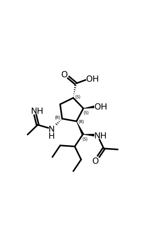 CCC(CC)[C@H](NC(C)=O)[C@@H]1[C@H](O)[C@@H](C(=O)O)C[C@H]1NC(C)=N